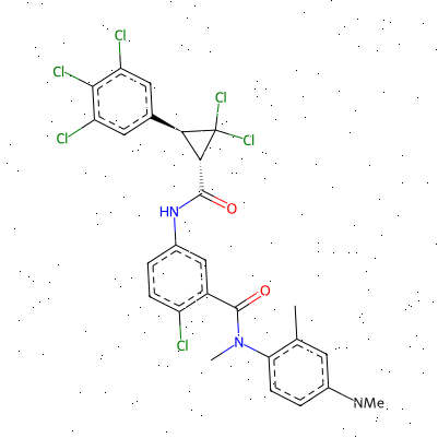 CNc1ccc(N(C)C(=O)c2cc(NC(=O)[C@@H]3[C@@H](c4cc(Cl)c(Cl)c(Cl)c4)C3(Cl)Cl)ccc2Cl)c(C)c1